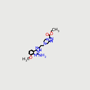 CCOC(=O)c1nnc2n1CCN(CCc1nc3c4cccc(OC)c4nc(N)n3n1)C2